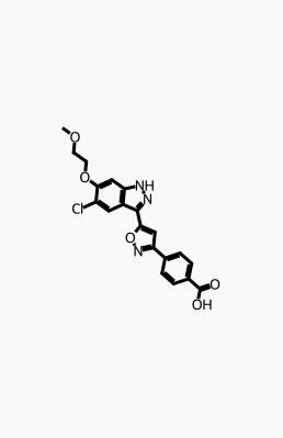 COCCOc1cc2[nH]nc(-c3cc(-c4ccc(C(=O)O)cc4)no3)c2cc1Cl